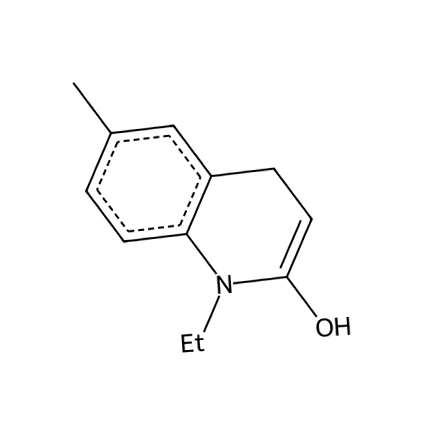 CCN1C(O)=CCc2cc(C)ccc21